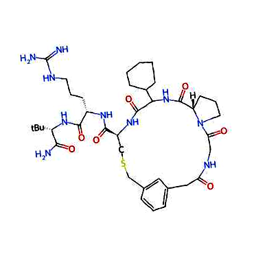 CC(C)(C)[C@H](NC(=O)[C@H](CCCNC(=N)N)NC(=O)[C@@H]1CSCc2cccc(c2)CC(=O)NCC(=O)N2CCC[C@H]2C(=O)NC(C2CCCCC2)C(=O)N1)C(N)=O